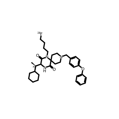 C[C@H](C1CCCCC1)C1NC(=O)C2(CCN(Cc3ccc(Oc4ccccc4)cc3)CC2)N(CCCC[18F])C1=O